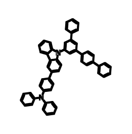 c1ccc(-c2ccc(-c3cc(-c4ccccc4)cc(-n4c5ccccc5c5cc(-c6ccc(N(c7ccccc7)c7ccccc7)cc6)ccc54)c3)cc2)cc1